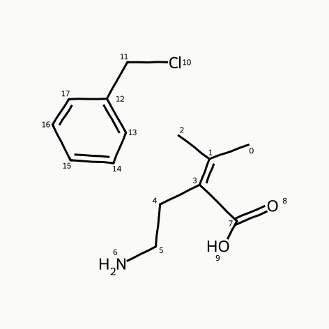 CC(C)=C(CCN)C(=O)O.ClCc1ccccc1